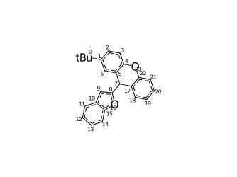 CC(C)(C)c1ccc2c(c1)C(c1cc3ccccc3o1)c1ccccc1O2